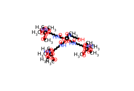 CC(=O)N[C@H]1[C@H](OCCCCCCNC(=O)CCO[C@@H]2[C@H](OCCC(=O)NCCCCCCO[C@@H]3O[C@H](COC(C)=O)[C@H](OC(C)=O)[C@H](OC(C)=O)[C@H]3NC(C)=O)C=C(C(=O)N(C)CCCCCCO)C[C@H]2OCCC(=O)NCCCCCCO[C@@H]2O[C@H](COC(C)=O)[C@H](OC(C)=O)[C@H](OC(C)=O)[C@H]2NC(C)=O)O[C@H](COC(C)=O)[C@H](OC(C)=O)[C@@H]1OC(C)=O